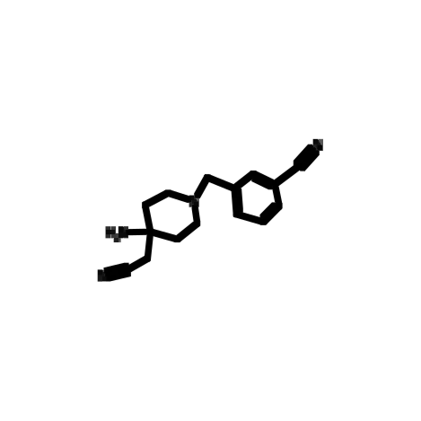 N#CCC1(N)CCN(Cc2cccc(C#N)c2)CC1